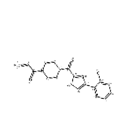 C=CC(=O)N1CCN(C(=O)c2nc(-c3ccccc3Cl)cs2)CC1